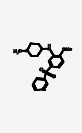 COc1ccc(S(=O)(=O)c2cccnc2)cc1NC1CCN(C)CC1